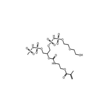 C=C(C)C(=O)OCCNC(=O)OC(COS(=O)(=O)NS(C)(=O)=O)COS(=O)(=O)NS(=O)(=O)OCCOCCO